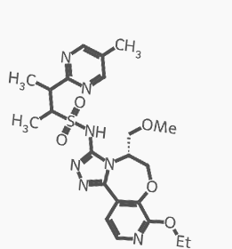 CCOc1nccc2c1OC[C@@H](COC)n1c(NS(=O)(=O)C(C)C(C)c3ncc(C)cn3)nnc1-2